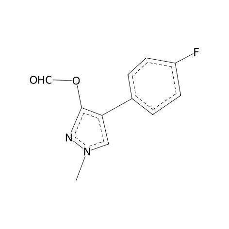 Cn1cc(-c2ccc(F)cc2)c(OC=O)n1